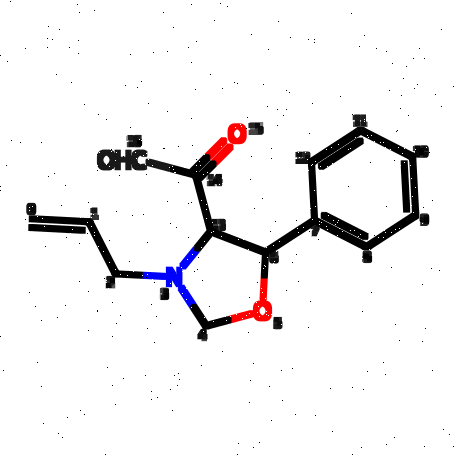 C=CCN1COC(c2ccccc2)C1C(=O)C=O